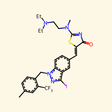 CCN(CC)CCN(C)C1=NC(=O)/C(=C/c2ccc3c(c2)c(I)nn3Cc2ccc(C)cc2C(F)(F)F)S1